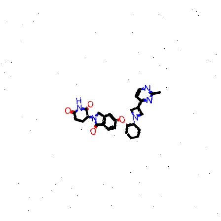 Cc1nccc(C2CN([C@@H]3CCCC[C@@H]3Oc3ccc4c(c3)CN(C3CCC(=O)NC3=O)C4=O)C2)n1